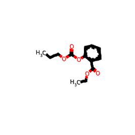 CC[CH]OC(=O)Oc1ccccc1C(=O)OCC